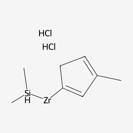 CC1=CC[C]([Zr][SiH](C)C)=C1.Cl.Cl